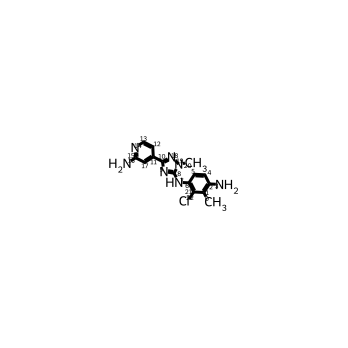 Cc1c(N)ccc(Nc2nc(-c3ccnc(N)c3)nn2C)c1Cl